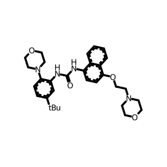 CC(C)(C)c1ccc(N2CCOCC2)c(NC(=O)Nc2ccc(OCCN3CCOCC3)c3ccccc23)c1